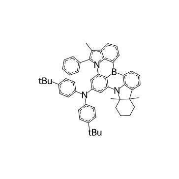 Cc1c(-c2ccccc2)n2c3c(cccc13)B1c3cccc4c3N(c3cc(N(c5ccc(C(C)(C)C)cc5)c5ccc(C(C)(C)C)cc5)cc-2c31)C1(C)CCCCC41C